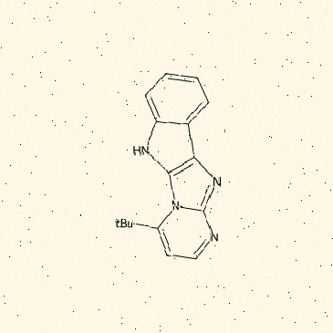 CC(C)(C)c1ccnc2nc3c4ccccc4[nH]c3n12